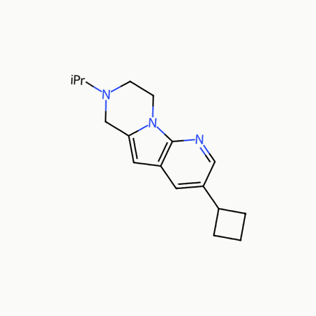 CC(C)N1CCn2c(cc3cc(C4CCC4)cnc32)C1